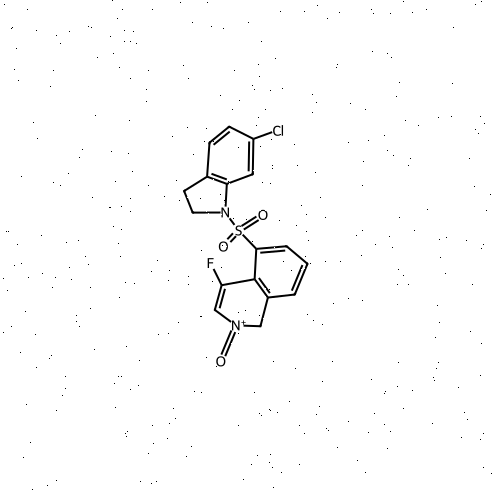 O=[N+]1C=C(F)c2c(cccc2S(=O)(=O)N2CCc3ccc(Cl)cc32)C1